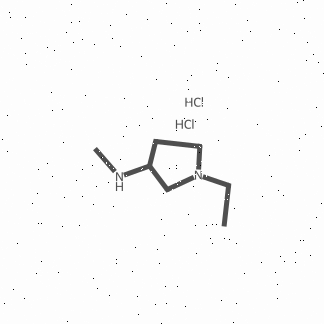 CCN1CCC(NC)C1.Cl.Cl